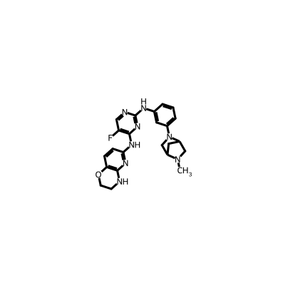 CN1CC2CC1CN2c1cccc(Nc2ncc(F)c(Nc3ccc4c(n3)NCCO4)n2)c1